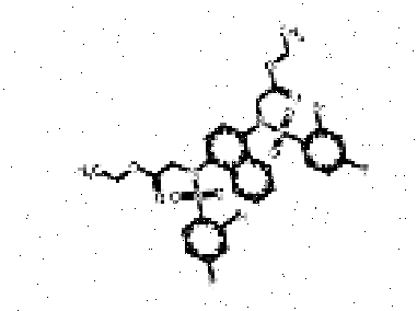 CCOC(=O)CN(c1ccc(N(CC(=O)OCC)S(=O)(=O)c2ccc(F)cc2Br)c2ccccc12)S(=O)(=O)c1ccc(F)cc1Br